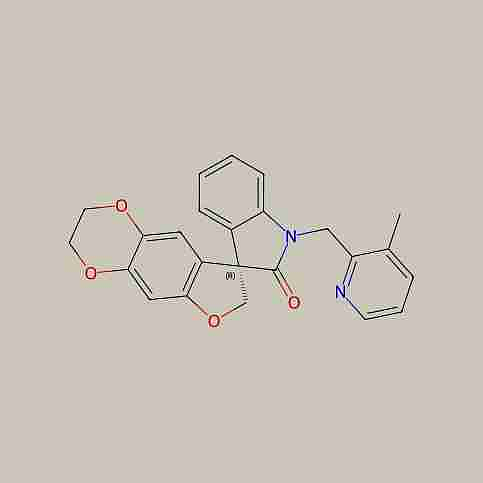 Cc1cccnc1CN1C(=O)[C@]2(COc3cc4c(cc32)OCCO4)c2ccccc21